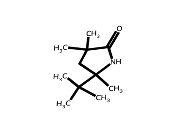 CC1(C)CC(C)(C(C)(C)C)NC1=O